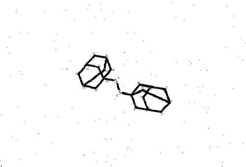 C1C2CC3CC1CC(SSC14CC5CC(CC(C5)C1)C4)(C2)C3